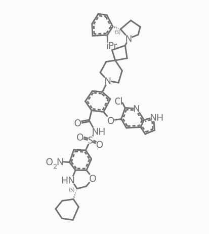 CC(C)c1ccccc1[C@@H]1CCCN1C1CC2(CCN(c3ccc(C(=O)NS(=O)(=O)c4cc5c(c([N+](=O)[O-])c4)N[C@@H](C4CCCCC4)CO5)c(Oc4cc5cc[nH]c5nc4Cl)c3)CC2)C1